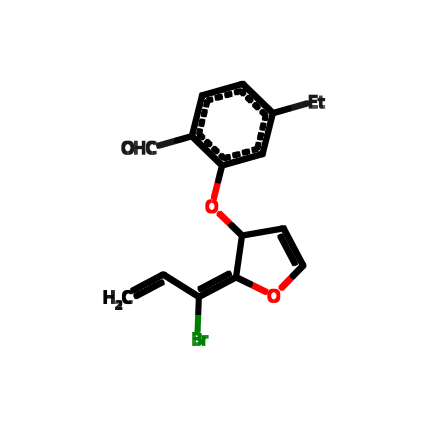 C=C/C(Br)=C1/OC=CC1Oc1cc(CC)ccc1C=O